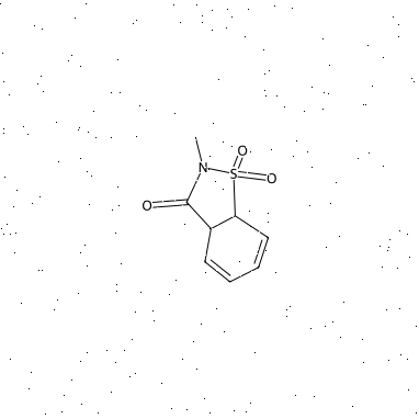 CN1C(=O)C2C=CC=CC2S1(=O)=O